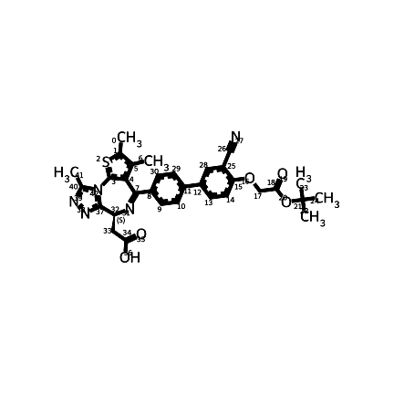 Cc1sc2c(c1C)C(c1ccc(-c3ccc(OCC(=O)OC(C)(C)C)c(C#N)c3)cc1)=N[C@@H](CC(=O)O)c1nnc(C)n1-2